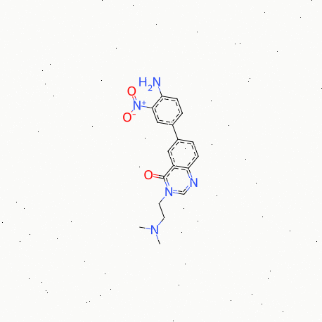 CN(C)CCn1cnc2ccc(-c3ccc(N)c([N+](=O)[O-])c3)cc2c1=O